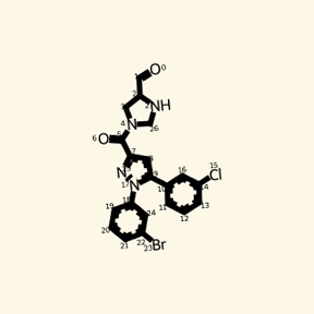 O=CC1CN(C(=O)c2cc(-c3cccc(Cl)c3)n(-c3cccc(Br)c3)n2)CN1